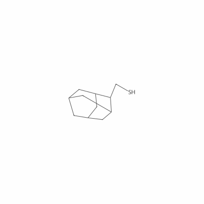 SCC1C2CC3CC(C2)CC1C3